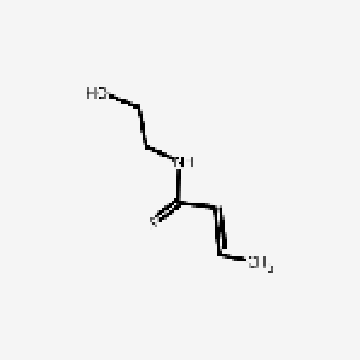 C/C=C/C(=S)NCCO